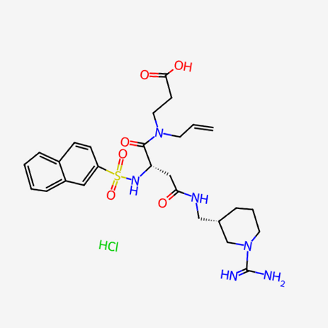 C=CCN(CCC(=O)O)C(=O)[C@H](CC(=O)NC[C@@H]1CCCN(C(=N)N)C1)NS(=O)(=O)c1ccc2ccccc2c1.Cl